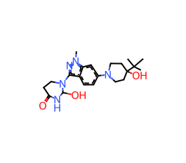 Cn1nc(N2CCC(=O)NC2O)c2ccc(N3CCC(O)(C(C)(C)C)CC3)cc21